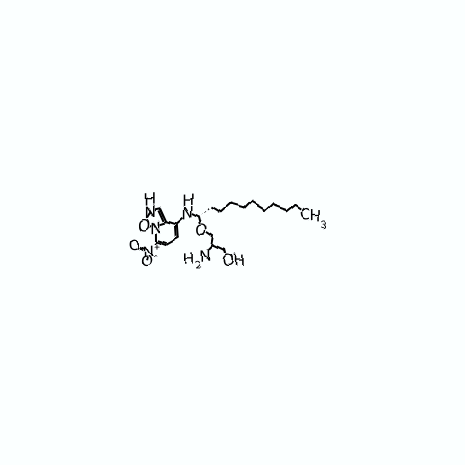 CCCCCCCCCC[C@@H](NC1=CC=C([N+](=O)[O-])N2ONC=C12)OCC(N)CO